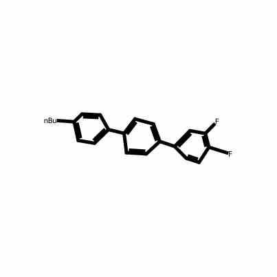 CCCCc1ccc(-c2ccc(-c3ccc(F)c(F)c3)cc2)cc1